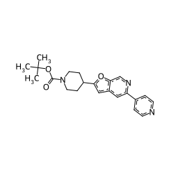 CC(C)(C)OC(=O)N1CCC(c2cc3cc(-c4ccncc4)ncc3o2)CC1